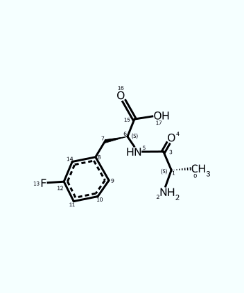 C[C@H](N)C(=O)N[C@@H](Cc1cccc(F)c1)C(=O)O